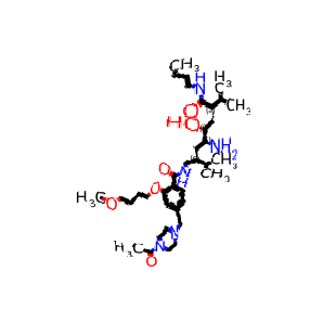 CCCCNC(=O)[C@@H](C[C@H](O)[C@@H](N)C[C@H](CNC(=O)c1ccc(CN2CCN(C(C)=O)CC2)cc1OCCCCOC)C(C)C)C(C)C